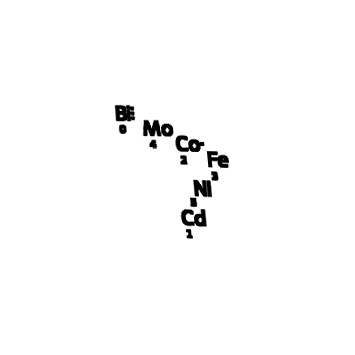 [Bi].[Cd].[Co].[Fe].[Mo].[Ni]